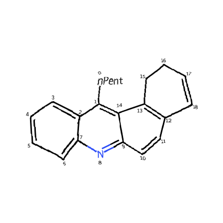 CCCCCc1c2ccccc2nc2ccc3c(c12)CCC=C3